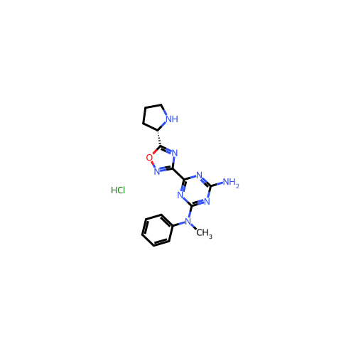 CN(c1ccccc1)c1nc(N)nc(-c2noc([C@@H]3CCCN3)n2)n1.Cl